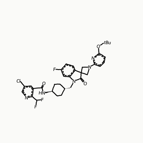 CC(C)(C)Oc1cccc(N2CC3(C2)C(=O)N(C[C@H]2CC[C@H](NC(=O)c4cc(Cl)cnc4C(F)F)CC2)c2cc(F)ccc23)n1